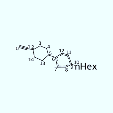 C#CC1CCC(c2ccc(CCCCCC)cc2)CC1